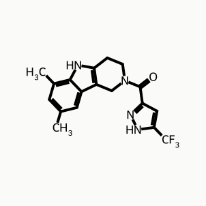 Cc1cc(C)c2[nH]c3c(c2c1)CN(C(=O)c1cc(C(F)(F)F)[nH]n1)CC3